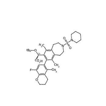 Cc1c(-c2c(C)c3c(c(C)c2[C@H](OC(C)(C)C)C(=O)O)CCN(S(=O)(=O)N2CCCCC2)CC3)cc(F)c2c1CCCO2